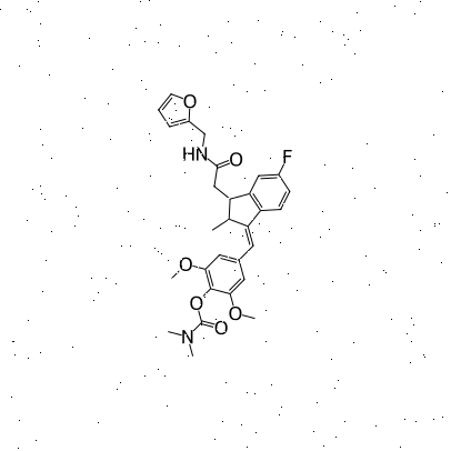 COc1cc(C=C2c3ccc(F)cc3C(CC(=O)NCc3ccco3)C2C)cc(OC)c1OC(=O)N(C)C